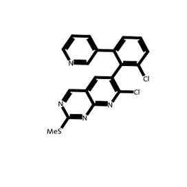 CSc1ncc2cc(-c3c(Cl)cccc3-c3cccnc3)c(Cl)nc2n1